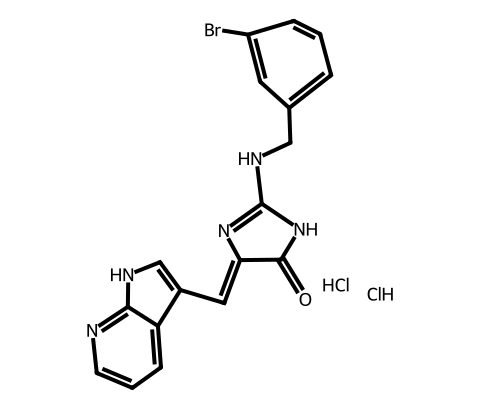 Cl.Cl.O=C1NC(NCc2cccc(Br)c2)=N/C1=C\c1c[nH]c2ncccc12